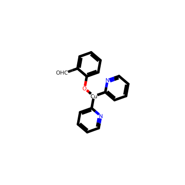 O=Cc1ccccc1[O][Cu]([c]1ccccn1)[c]1ccccn1